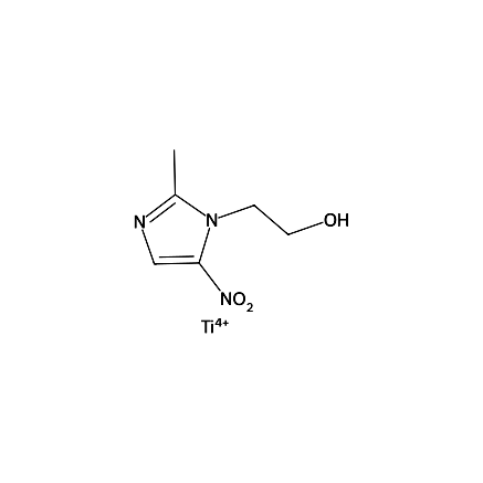 Cc1ncc([N+](=O)[O-])n1CCO.[Ti+4]